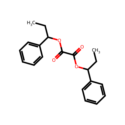 CCC(OC(=O)C(=O)OC(CC)c1ccccc1)c1ccccc1